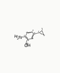 Nc1ccc(C2CC2)cc1O